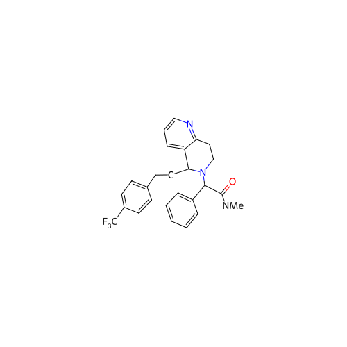 CNC(=O)C(c1ccccc1)N1CCc2ncccc2C1CCc1ccc(C(F)(F)F)cc1